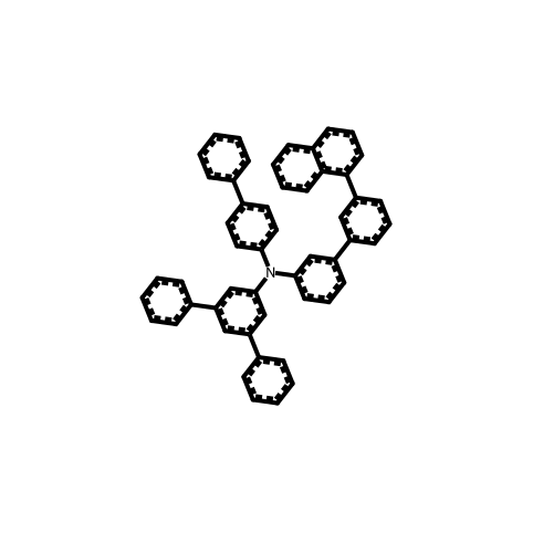 c1ccc(-c2ccc(N(c3cccc(-c4cccc(-c5cccc6ccccc56)c4)c3)c3cc(-c4ccccc4)cc(-c4ccccc4)c3)cc2)cc1